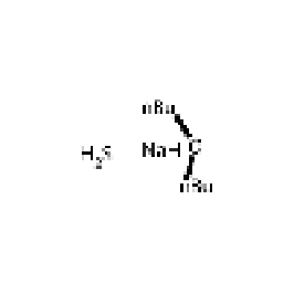 CCCCOCCCC.S.[NaH]